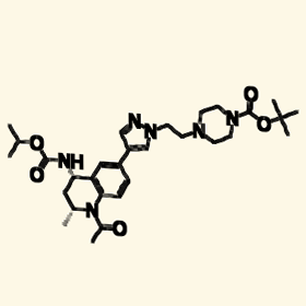 CC(=O)N1c2ccc(-c3cnn(CCN4CCN(C(=O)OC(C)(C)C)CC4)c3)cc2[C@@H](NC(=O)OC(C)C)C[C@H]1C